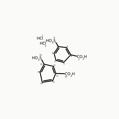 Cl.Cl.O=C(O)c1cccc(S(=O)(=O)O)c1.O=C(O)c1cccc(S(=O)(=O)O)c1